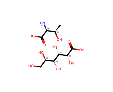 C[C@@H](O)[C@H](N)C(=O)O.O=C(O)[C@H](O)[C@@H](O)[C@H](O)[C@H](O)CO